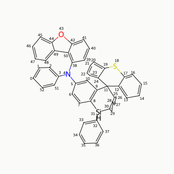 c1ccc(N(c2ccc3c(c2)C2(c4ccccc4Sc4ccccc42)c2ccccc2[SiH]3c2ccccc2)c2cccc3oc4ccccc4c23)cc1